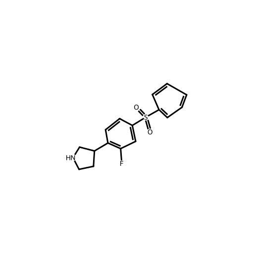 O=S(=O)(c1ccccc1)c1ccc(C2CCNC2)c(F)c1